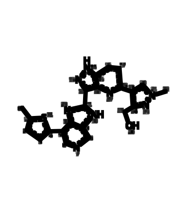 Cc1ccc(-c2cncc3[nH]c(-c4n[nH]c5ccc(-c6cn(C)nc6CO)nc45)nc23)s1